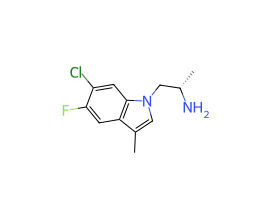 Cc1cn(C[C@H](C)N)c2cc(Cl)c(F)cc12